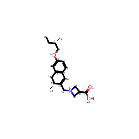 CC[C@H](C)COc1ccc2c(c1)C[C@@H](C)C(CN1CC(C(=O)O)C1)=C2